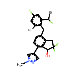 CCC(F)c1cc(F)cc(C#N)c1Cc1ccc(-c2cnn(C)c2)c2c1CC(F)(F)C2O